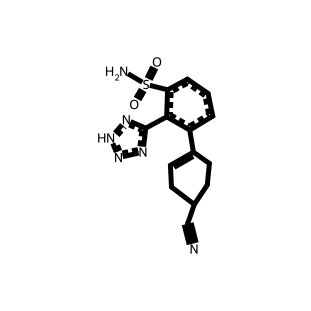 N#CC1CC=C(c2cccc(S(N)(=O)=O)c2-c2nn[nH]n2)CC1